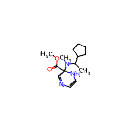 COC(=O)C1(N(C)C(C)C2CCCC2)C=NC=CN1